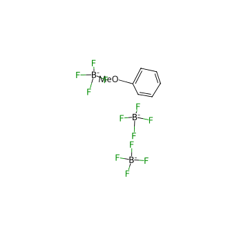 COc1ccccc1.F[B-](F)(F)F.F[B-](F)(F)F.F[B-](F)(F)F